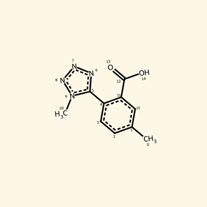 Cc1ccc(-c2nnnn2C)c(C(=O)O)c1